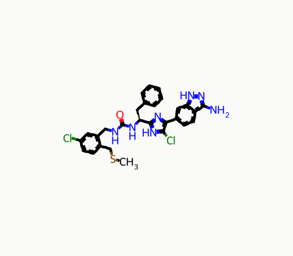 CSCc1ccc(Cl)cc1CNC(=O)N[C@@H](Cc1ccccc1)c1nc(-c2ccc3c(N)n[nH]c3c2)c(Cl)[nH]1